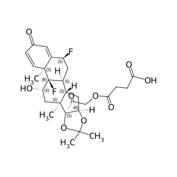 CC1(C)O[C@@H]2C[C@H]3[C@@H]4C[C@H](F)C5=CC(=O)C=C[C@]5(C)[C@@]4(F)[C@@H](O)C[C@]3(C)[C@]2(C(=O)COC(=O)CCC(=O)O)O1